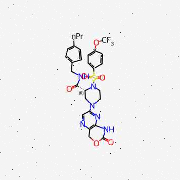 CCCc1ccc(CNC(=O)[C@H]2CN(c3cnc4c(n3)NC(=O)OC4)CCN2S(=O)(=O)c2ccc(OC(F)(F)F)cc2)cc1